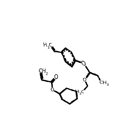 C=CC(=O)OC1CCCCC1.C=Cc1ccc(OC(CC)OCC)cc1